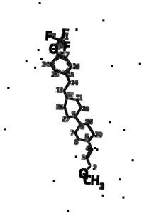 COCC=CC1CCC(C2CCC(CCc3ccc(OC(F)(F)F)cc3)CC2)CC1